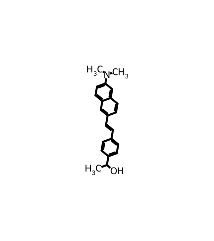 CC(O)c1ccc(/C=C/c2ccc3cc(N(C)C)ccc3c2)cc1